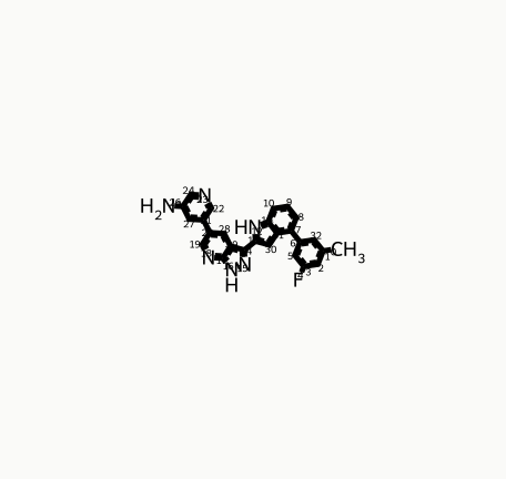 Cc1cc(F)cc(-c2cccc3[nH]c(-c4n[nH]c5ncc(-c6cncc(N)c6)cc45)cc23)c1